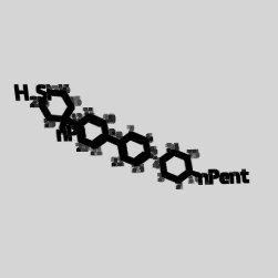 CCCCC[C@H]1CC[C@H](c2ccc(-c3ccc(C4(CCC)CC[SiH2]CC4)cc3)cc2)CC1